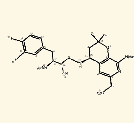 CNc1nc(CC(C)(C)C)cc2c1OC(C)(C)C[C@@H]2NC[C@H](O)[C@H](Cc1ccc(F)c(F)c1)NC(C)=O